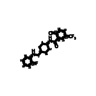 O=C(NC1CCC(CNc2ccccc2F)CC1)c1cc(C(F)(F)F)ccc1Cl